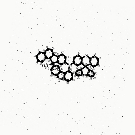 CC1(C)c2cc(N(c3ccc4c(c3)C3(c5ccccc5S4)c4ccccc4-c4ccccc43)c3cccc4sc5ccccc5c34)ccc2-c2ccc3ccccc3c21